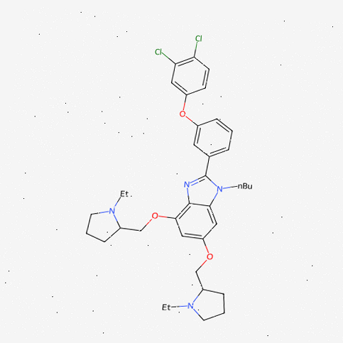 CCCCn1c(-c2cccc(Oc3ccc(Cl)c(Cl)c3)c2)nc2c(OCC3CCCN3CC)cc(OCC3CCCN3CC)cc21